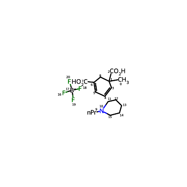 CC1(C(=O)O)C=CC=C(C(=O)O)C1.CCCN1CCCCC1.F[B-](F)(F)F